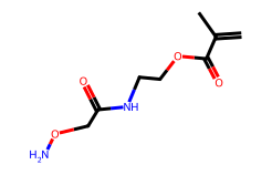 C=C(C)C(=O)OCCNC(=O)CON